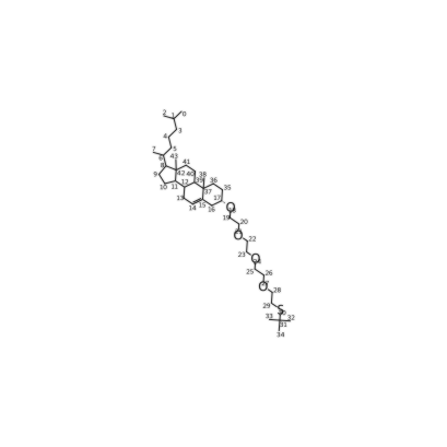 CC(C)CCCC(C)C1CCC2C3CC=C4C[C@@H](OCCOCCOCCOCCSC(C)(C)C)CCC4(C)C3CCC12C